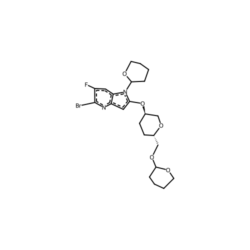 Fc1cc2c(cc(O[C@@H]3CC[C@@H](COC4CCCCO4)OC3)n2C2CCCCO2)nc1Br